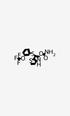 NC(=O)Oc1[nH]c2ccsc2c1Sc1cccc(OC(F)(F)F)c1